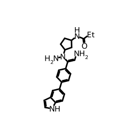 CCC(=O)NC1CCC(N(N)/C(=C\N)c2ccc(-c3ccc4[nH]ccc4c3)cc2)C1